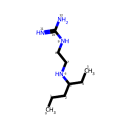 CCCC(CC)NCCNC(=N)N